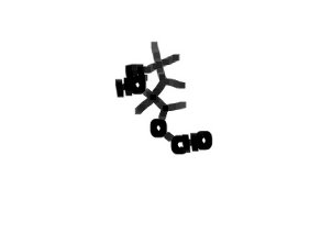 CCC(C)(C)C(C)C(C)(O)C(C)OC=O